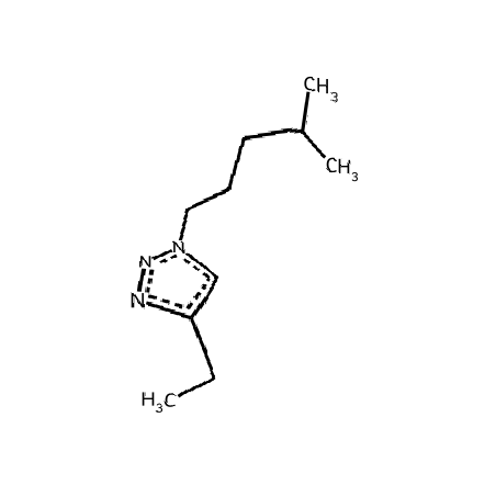 CCc1cn(CCCC(C)C)nn1